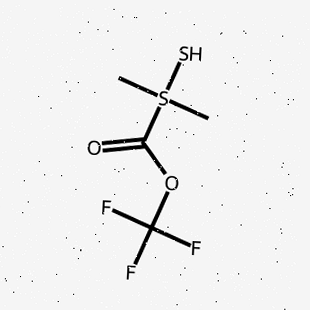 CS(C)(S)C(=O)OC(F)(F)F